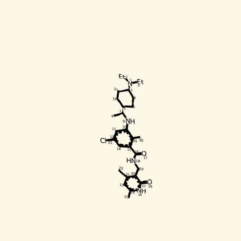 CCN(CC)[C@H]1CC[C@H](C(C)Nc2cc(Cl)cc(C(=O)NCc3c(C)cc(C)[nH]c3=O)c2C)CC1